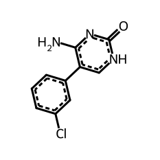 Nc1nc(=O)[nH]cc1-c1cccc(Cl)c1